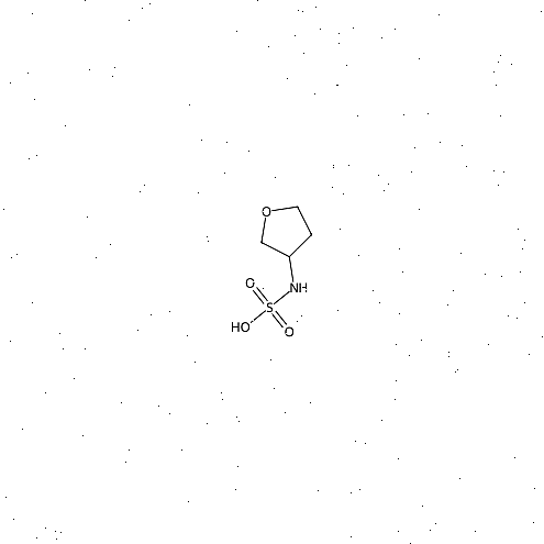 O=S(=O)(O)NC1CCOC1